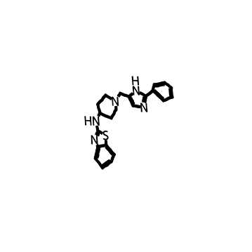 c1ccc(-c2ncc(CN3CCC(Nc4nc5ccccc5s4)CC3)[nH]2)cc1